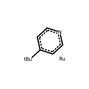 CC(C)(C)c1ccncc1.[Ru]